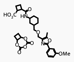 COc1cccc(-c2nc(COCC3CCCC(NC(=O)C4CCC4C(=O)O)C3)c(C)o2)c1.O=C1OC(=O)OC2CCC2O1